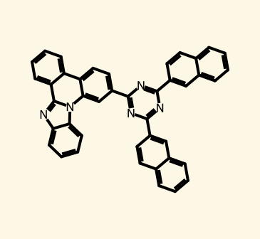 c1ccc2cc(-c3nc(-c4ccc5ccccc5c4)nc(-c4ccc5c6ccccc6c6nc7ccccc7n6c5c4)n3)ccc2c1